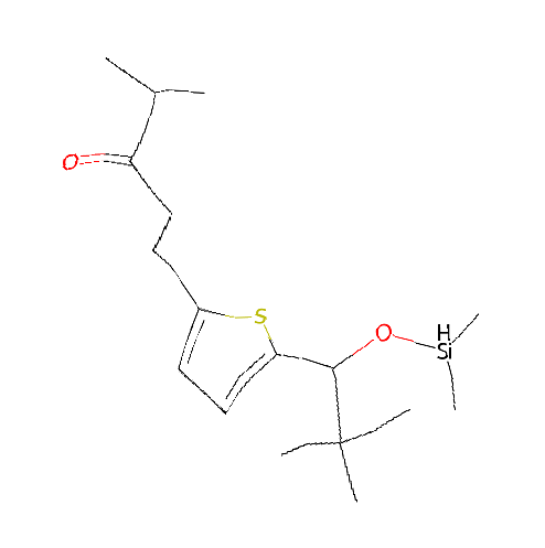 CC(C)C(=O)CCc1ccc(C(O[SiH](C)C)C(C)(C)C)s1